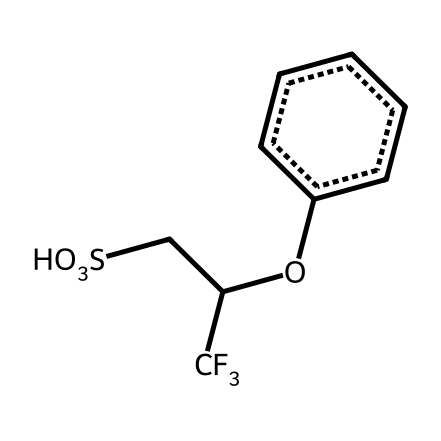 O=S(=O)(O)CC(Oc1ccccc1)C(F)(F)F